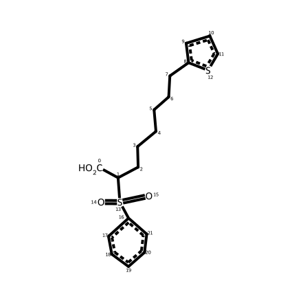 O=C(O)C(CCCCCCc1cccs1)S(=O)(=O)c1ccccc1